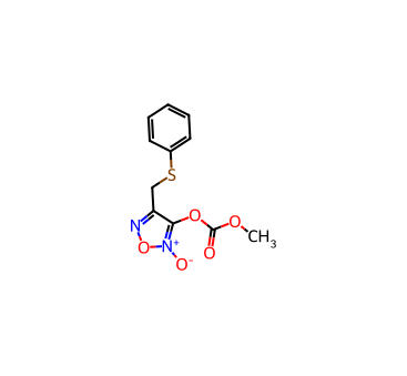 COC(=O)Oc1c(CSc2ccccc2)no[n+]1[O-]